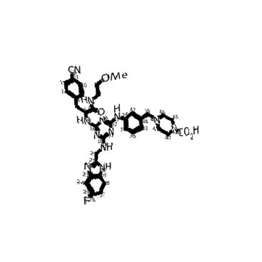 COCCNC(=O)C(Cc1ccc(C#N)cc1)Nc1nc(NCc2nc3cc(F)ccc3[nH]2)nc(Nc2cccc(CN3CCN(C(=O)O)CC3)c2)n1